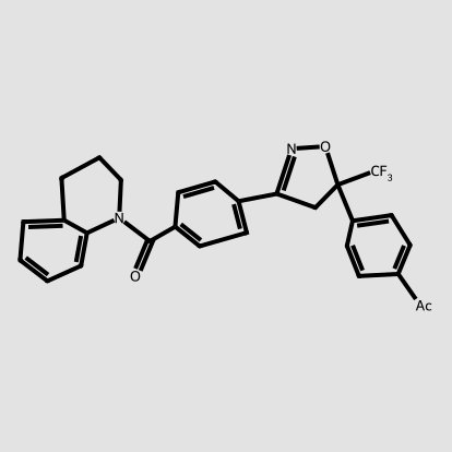 CC(=O)c1ccc(C2(C(F)(F)F)CC(c3ccc(C(=O)N4CCCc5ccccc54)cc3)=NO2)cc1